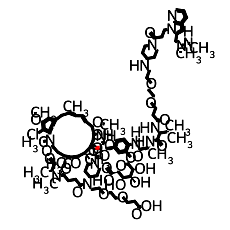 CNN(C)Cc1cc2cccnc2n1CCC(=O)N1CCC(NCCOCCOCCC(=O)N[C@H](C(=O)N[C@@H](C)C(=O)Nc2ccc(COC(=O)N3CCC(N(CCOCCOCCC(=O)O)C(=O)CCC(=O)N(C)[C@@H](C)C(=O)O[C@H]4CC(=O)N(C)c5cc(cc(OC)c5Cl)C/C(C)=C/C=C/[C@@H](OC)[C@@]5(O)C[C@H](OC(=O)N5)[C@@H](C)C5O[C@@]54C)CC3)cc2O[C@@H]2O[C@H](C(=O)O)[C@@H](O)[C@H](O)[C@H]2O)C(C)C)CC1